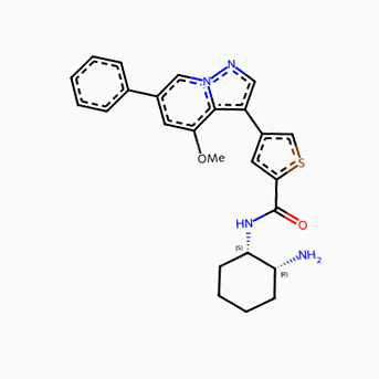 COc1cc(-c2ccccc2)cn2ncc(-c3csc(C(=O)N[C@H]4CCCC[C@H]4N)c3)c12